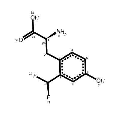 N[C@@H](Cc1ccc(O)cc1C(F)F)C(=O)O